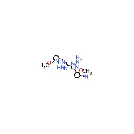 COCc1cccc(CN/C=C(\N=N)c2cc(-c3cccc(C#N)c3OC)nc(N)n2)n1